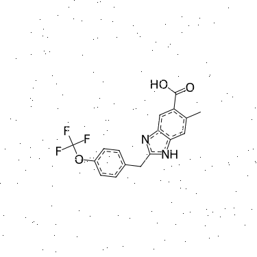 Cc1cc2[nH]c(Cc3ccc(OC(F)(F)F)cc3)nc2cc1C(=O)O